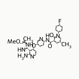 COC[C@@H](C)NC(=N)c1c(Oc2ccc(NC(=O)c3cc(C)cn(-c4ccc(F)cc4)c3=O)nc2)ccnc1N